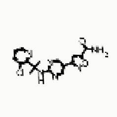 CC(C)(Nc1ncc(-c2cc(C(N)=O)on2)cn1)c1ncccc1Cl